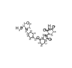 BC1COCCN1Cc1ccc(COc2cccc3c2CN(C2CCC(=O)NC2=O)C3=O)cc1